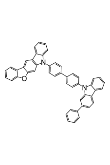 c1ccc(-c2ccc3c4ccccc4n(-c4ccc(-c5ccc(-n6c7ccccc7c7cc8c(cc76)oc6ccccc68)cc5)cc4)c3c2)cc1